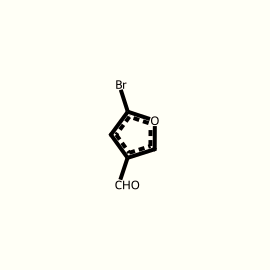 O=Cc1coc(Br)c1